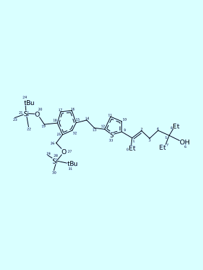 CC/C(=C\CCC(O)(CC)CC)c1ccc(CCc2ccc(CO[Si](C)(C)C(C)(C)C)c(CO[Si](C)(C)C(C)(C)C)c2)s1